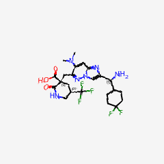 CN(C)c1cc2nc([C@@H](N)C3CCC(F)(F)CC3)cn2nc1C[C@@]1(C(=O)O)C[C@@H](C(F)(F)F)CNC1=O